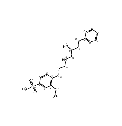 COc1cc(S(C)(=O)=O)ccc1OCCNCC(O)COc1ccccc1